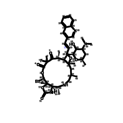 CC[C@H]1OC(=O)C(C)(F)C(=O)[C@H](C)[C@@H](O[C@@H]2O[C@H](C)CC(N(C)C)C2O)[C@](C)(OC/C=C/c2cnc3ccccc3c2)C[C@@H](C)CN[C@H](C)[C@H]2NC(=O)O[C@@]21C